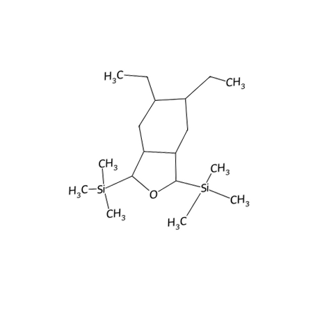 CCC1CC2C(CC1CC)C([Si](C)(C)C)OC2[Si](C)(C)C